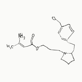 C/C(N)=C/C(=O)OCCCN1CCCC1Cc1ccc(Cl)cc1